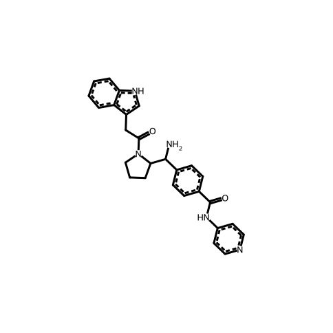 NC(c1ccc(C(=O)Nc2ccncc2)cc1)C1CCCN1C(=O)Cc1c[nH]c2ccccc12